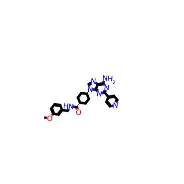 COc1cccc(CNC(=O)[C@H]2CC[C@@H](n3cnc4c(N)nc(-c5ccncc5)nc43)CC2)c1